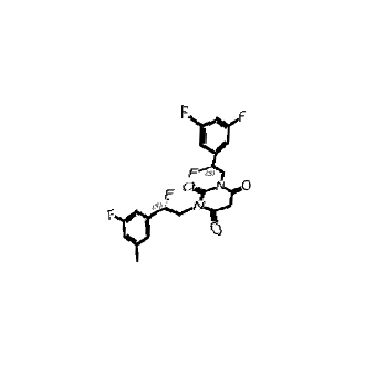 Cc1cc(F)cc([C@H](F)CN2C(=O)CC(=O)N(C[C@@H](F)c3cc(F)cc(F)c3)C2=O)c1